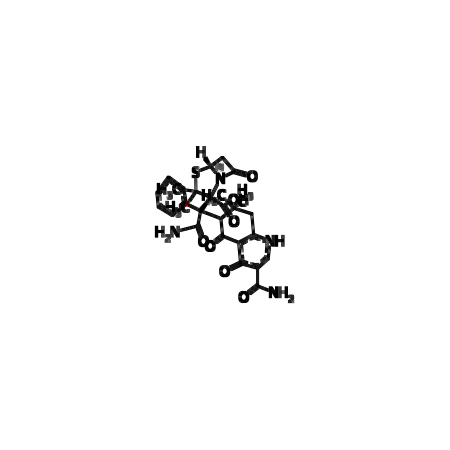 CC1(C)Cc2[nH]cc(C(N)=O)c(=O)c2C(=O)C1C(C(N)=O)(c1ccccc1)[C@]1(C(=O)O)N2C(=O)C[C@H]2SC1(C)C